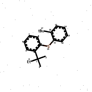 CCC(C)(C)c1ccccc1Sc1ccccc1C(C)(C)C